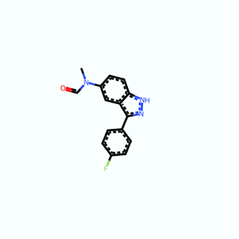 CN(C=O)c1ccc2[nH]nc(-c3ccc(F)cc3)c2c1